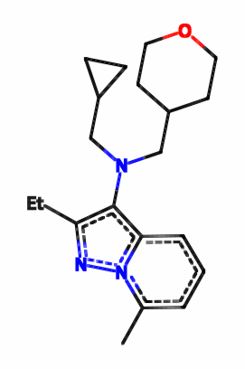 CCc1nn2c(C)cccc2c1N(CC1CCOCC1)CC1CC1